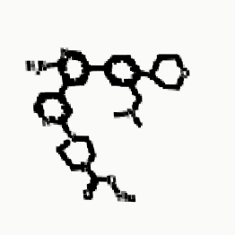 CN(C)Cc1cc(-c2cnc(N)c(-c3ccnc(N4CCN(C(=O)OC(C)(C)C)CC4)c3)c2)ccc1C1CCOCC1